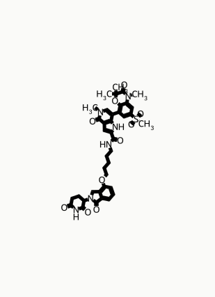 CN1C(=O)C(C)(C)Oc2c(-c3cn(C)c(=O)c4cc(C(=O)NCCCCCOc5cccc6c5CN(C5CCC(=O)NC5=O)C6=O)[nH]c34)cc(S(C)(=O)=O)cc21